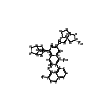 Fc1ccc2cccc(-c3ncc4c(N5CC6CCC(C5)N6)nc(OC[C@@]56CCCN5C[C@H](F)C6)nc4c3F)c2c1F